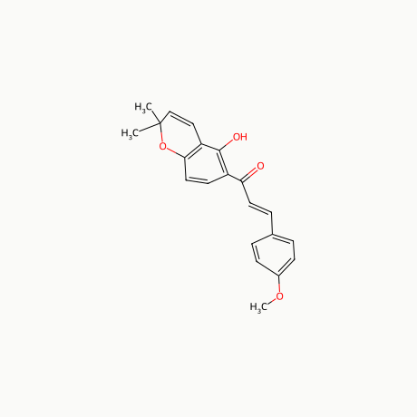 COc1ccc(/C=C/C(=O)c2ccc3c(c2O)C=CC(C)(C)O3)cc1